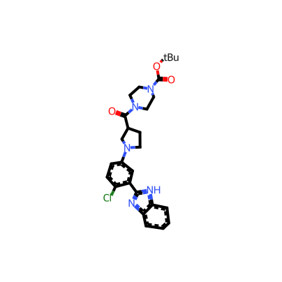 CC(C)(C)OC(=O)N1CCN(C(=O)C2CCN(c3ccc(Cl)c(-c4nc5ccccc5[nH]4)c3)C2)CC1